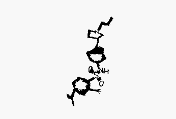 CCCN1CCC(c2ccc(NS(=O)(=O)c3ccc(C(C)C)cc3F)cc2)C1